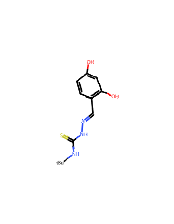 CC(C)(C)NC(=S)NN=Cc1ccc(O)cc1O